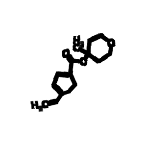 C=CC1=CC=C(C(=O)OC2(C)CCOCC2)CC1